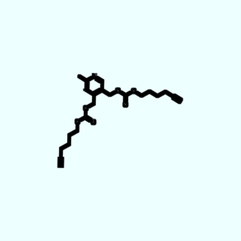 C#CCCCCOC(=O)OCc1[c]c(C)ncc1COC(=O)OCCCCC#C